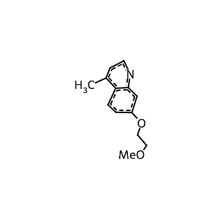 COCCOc1ccc2c(C)ccnc2c1